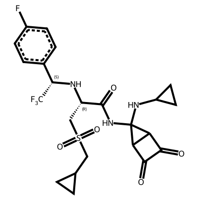 O=C1C(=O)C2C1C2(NC(=O)[C@H](CS(=O)(=O)CC1CC1)N[C@@H](c1ccc(F)cc1)C(F)(F)F)NC1CC1